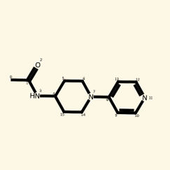 CC(=O)NC1CCN(c2ccncc2)CC1